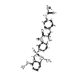 COc1cccc(OC)c1CS(=O)(=O)c1ccc2c(c1)NC(=O)/C(=C\c1ccc(OC(C)=O)cc1)S2